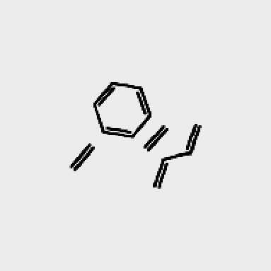 C=C.C=C.C=CC=C.c1ccccc1